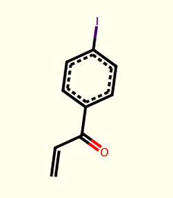 C=CC(=O)c1ccc(I)cc1